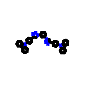 c1cc(-n2cc(-c3ccc(-n4c5ccccc5c5ccccc54)cc3)nn2)cc(-n2cc(-c3ccc(-n4c5ccccc5c5ccccc54)cc3)nn2)c1